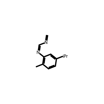 C=N/C=N\c1cc(C(C)C)ccc1C